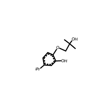 CC(C)c1ccc(OCC(C)(C)O)c(O)c1